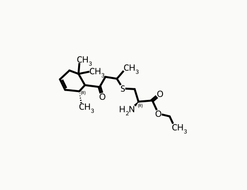 CCOC(=O)[C@@H](N)CSC(C)CC(=O)C1[C@H](C)C=CCC1(C)C